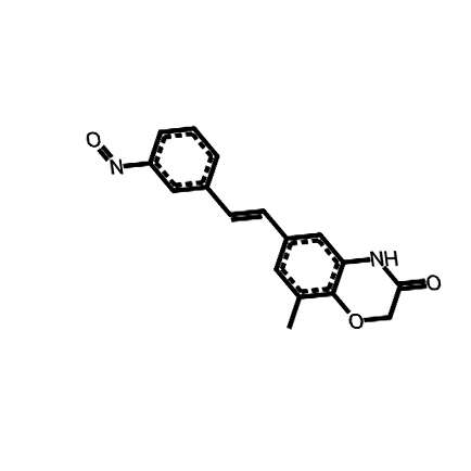 Cc1cc(/C=C/c2cccc(N=O)c2)cc2c1OCC(=O)N2